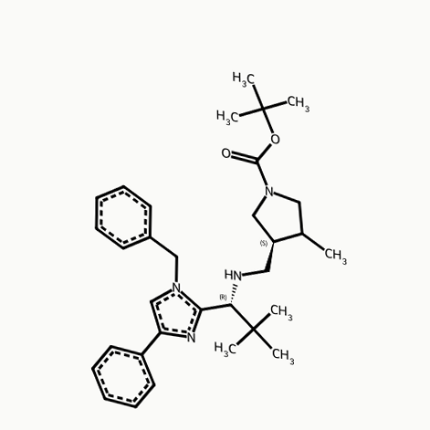 CC1CN(C(=O)OC(C)(C)C)C[C@@H]1CN[C@@H](c1nc(-c2ccccc2)cn1Cc1ccccc1)C(C)(C)C